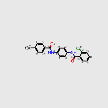 CC(C)(C)c1ccc(C(=O)Nc2ccc(NC(=O)c3ccccc3Cl)cc2)cc1